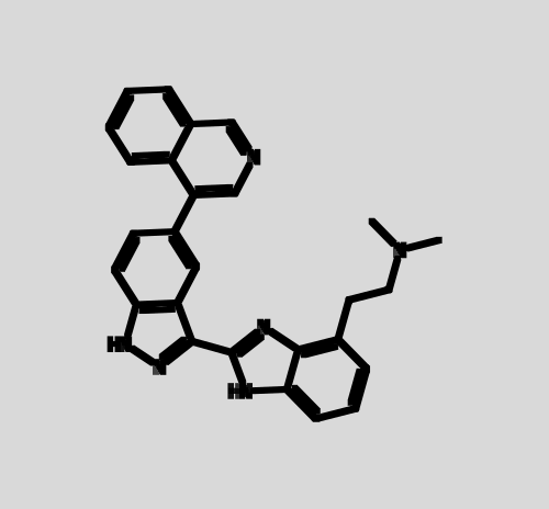 CN(C)CCc1cccc2[nH]c(-c3n[nH]c4ccc(-c5cncc6ccccc56)cc34)nc12